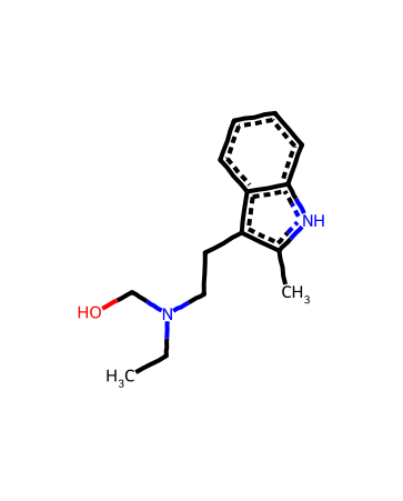 CCN(CO)CCc1c(C)[nH]c2ccccc12